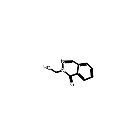 O=c1c2ccccc2cnn1CO